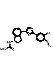 COC(=O)N[C@@H]1CCc2c(-c3cnc(-c4ccc(OC(C)C)c(N)c4)s3)cccc21